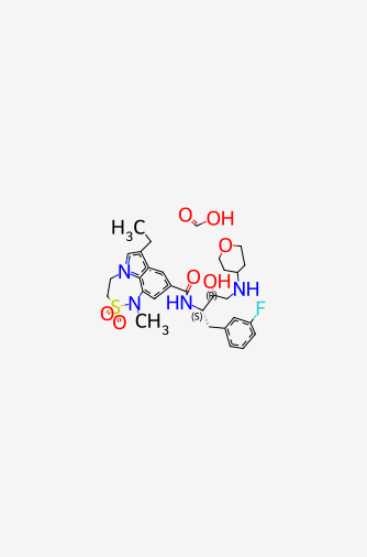 CCc1cn2c3c(cc(C(=O)N[C@@H](Cc4cccc(F)c4)[C@H](O)CNC4CCOCC4)cc13)N(C)S(=O)(=O)CC2.O=CO